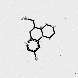 CSCC1Cc2ncc(Cl)cc2N2CCOCC12